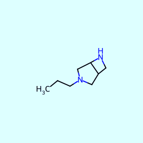 CCCN1CC2CNC2C1